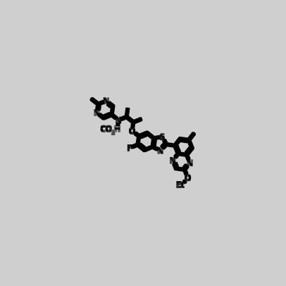 CCOc1cnc2c(-c3nc4cc(F)c(OC(C)C(C)N(C(=O)O)c5cnc(C)nc5)cc4s3)cc(C)cc2n1